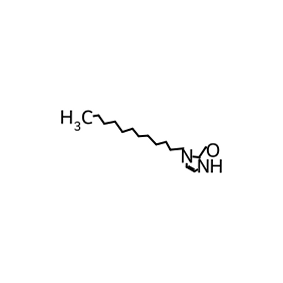 CCCCCCCCCCCCN1C=CNC1C=O